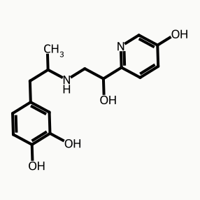 CC(Cc1ccc(O)c(O)c1)NCC(O)c1ccc(O)cn1